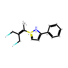 FCC(CF)=C(S1=CC=C(c2ccccc2)N1)C(F)(F)F